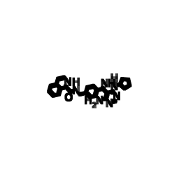 N=C(c1ccc(CNC(=O)c2nccc3ccccc23)cc1)c1c(N)ncnc1NC1CCCC1